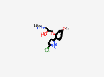 CCOc1ccc(-c2ccc(Cl)nn2)c(OCC(O)CNC(C)(C)C)c1